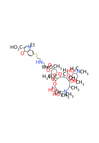 CCn1cc(C(=O)O)c(=O)c2ccc(SCCNCCC(=O)O[C@H]3[C@H](C)O[C@@H](O[C@H]4[C@@H](C)[C@@H](O[C@@H]5O[C@H](C)C[C@H](N(C)C)[C@H]5O)[C@](C)(O)C[C@@H](C)CN(C)[C@H](C)[C@@H](O)[C@](C)(O)[C@@H](I)OC(=O)[C@@H]4C)C[C@@]3(C)OC)cc21